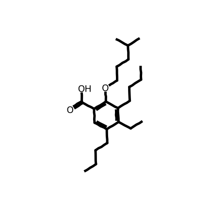 CCCCc1cc(C(=O)O)c(OCCCC(C)C)c(CCCC)c1CC